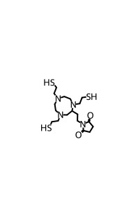 O=C1CCC(=O)N1CCC1CN(CCS)CCN(CCS)CCN1CCS